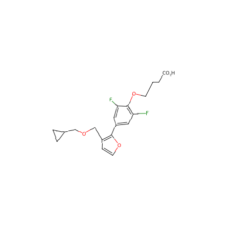 O=C(O)CCCOc1c(F)cc(-c2occc2COCC2CC2)cc1F